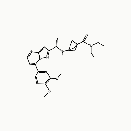 CCN(CC)C(=O)C12CC(NC(=O)c3cc4nccc(-c5ccc(OC)c(OC)c5)n4n3)(C1)C2